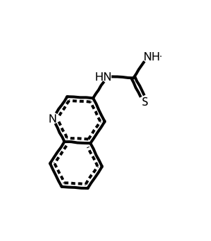 [NH]C(=S)Nc1cnc2ccccc2c1